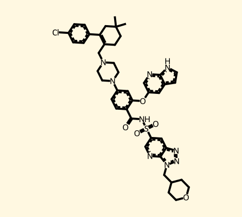 CC1(C)CCC(CN2CCN(c3ccc(C(=O)NS(=O)(=O)c4cnc5c(c4)nnn5CC4CCOCC4)c(Oc4cnc5[nH]ccc5c4)c3)CC2)=C(c2ccc(Cl)cc2)C1